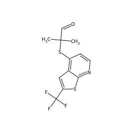 CC(C)(C=O)Sc1ccnc2sc(C(F)(F)F)cc12